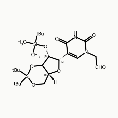 CC(C)(C)[Si](C)(C)O[C@H]1C2O[Si](C(C)(C)C)(C(C)(C)C)OC[C@H]2O[C@H]1c1cn(CC=O)c(=O)[nH]c1=O